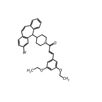 CCOc1cc(/C=C/C(=O)N2CCC(C3c4ccccc4C=Cc4ccc(Br)cc43)CC2)cc(OCC)c1